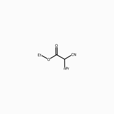 CCCC(C#N)C(=O)OCC